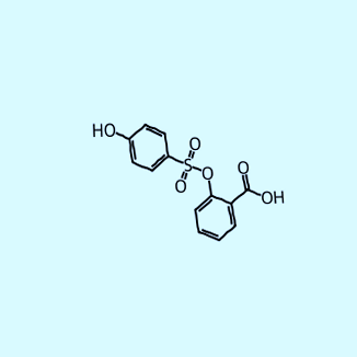 O=C(O)c1ccccc1OS(=O)(=O)c1ccc(O)cc1